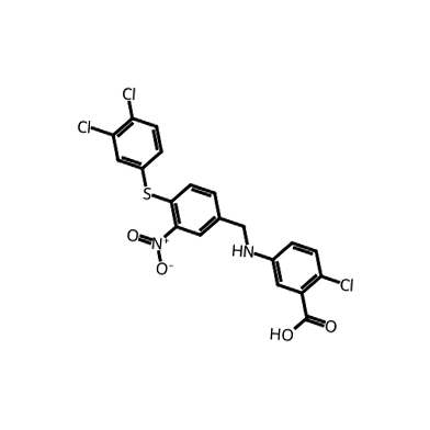 O=C(O)c1cc(NCc2ccc(Sc3ccc(Cl)c(Cl)c3)c([N+](=O)[O-])c2)ccc1Cl